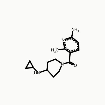 Cc1nc(N)ccc1C(=O)N1CCC(NC2CC2)CC1